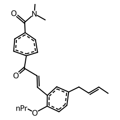 CC=CCc1ccc(OCCC)c(C=CC(=O)c2ccc(C(=O)N(C)C)cc2)c1